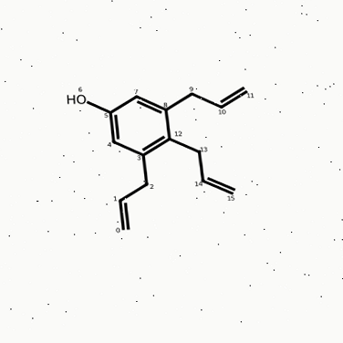 C=CCc1cc(O)cc(CC=C)c1CC=C